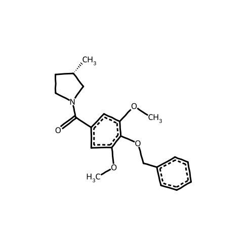 COc1cc(C(=O)N2CC[C@H](C)C2)cc(OC)c1OCc1ccccc1